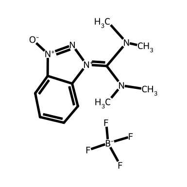 CN(C)C(N(C)C)=[N+]1N=[N+]([O-])c2ccccc21.F[B-](F)(F)F